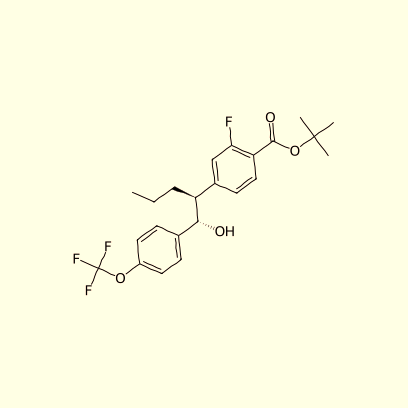 CCC[C@@H](c1ccc(C(=O)OC(C)(C)C)c(F)c1)[C@H](O)c1ccc(OC(F)(F)F)cc1